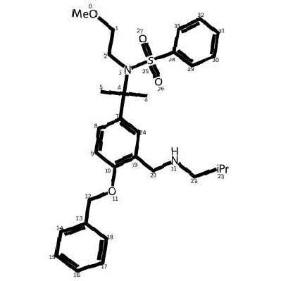 COCCN(C(C)(C)c1ccc(OCc2ccccc2)c(CNCC(C)C)c1)S(=O)(=O)c1ccccc1